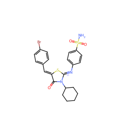 NS(=O)(=O)c1ccc(/N=C2\SC(=Cc3ccc(Br)cc3)C(=O)N2C2CCCCC2)cc1